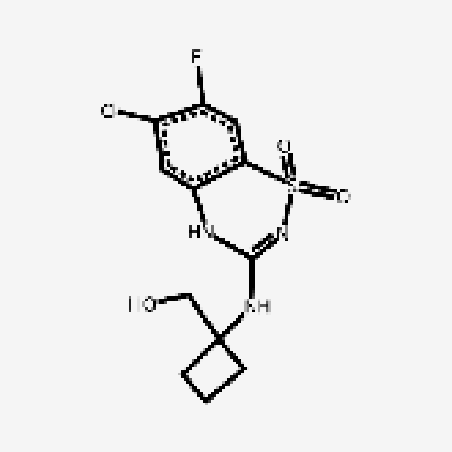 O=S1(=O)N=C(NC2(CO)CCC2)Nc2cc(Cl)c(F)cc21